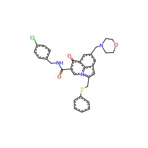 O=C(NCc1ccc(Cl)cc1)c1cn2c(CSc3ccccc3)cc3cc(CN4CCOCC4)cc(c1=O)c32